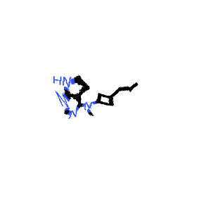 CCCC1CC(N(C)c2ncnc3[nH]ccc23)C1